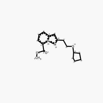 COC(=O)c1cccc2cc(CCOC3CCCC3)nn12